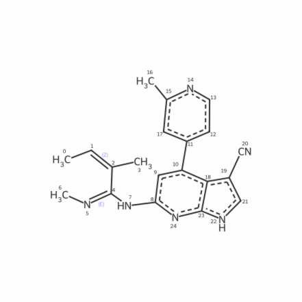 C/C=C(C)\C(=N/C)Nc1cc(-c2ccnc(C)c2)c2c(C#N)c[nH]c2n1